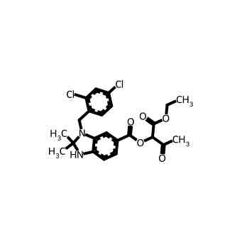 CCOC(=O)C(OC(=O)c1ccc2c(c1)N(Cc1ccc(Cl)cc1Cl)C(C)(C)N2)C(C)=O